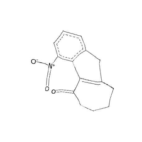 O=C1CCCCC2=C1c1c(cccc1[N+](=O)[O-])C2